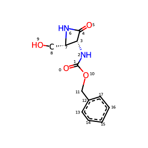 O=C(N[C@H]1C(=O)N[C@H]1CO)OCc1ccccc1